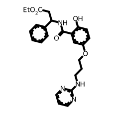 CCOC(=O)CC(NC(=O)c1cc(OCCCNc2ncccn2)ccc1O)c1ccccc1